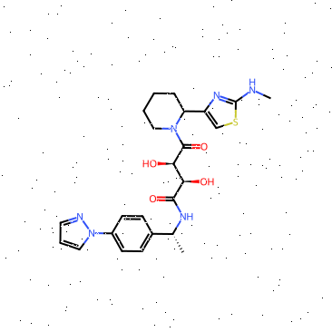 CNc1nc(C2CCCCN2C(=O)[C@H](O)[C@@H](O)C(=O)N[C@H](C)c2ccc(-n3cccn3)cc2)cs1